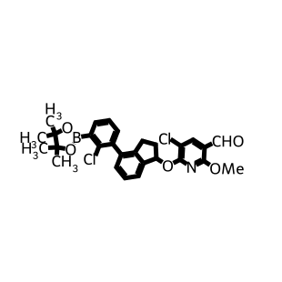 COc1nc(OC2CCc3c(-c4cccc(B5OC(C)(C)C(C)(C)O5)c4Cl)cccc32)c(Cl)cc1C=O